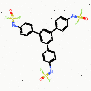 O=S(F)(F)=Nc1ccc(-c2cc(-c3ccc(N=S(=O)(F)F)cc3)cc(-c3ccc(N=S(=O)(F)F)cc3)c2)cc1